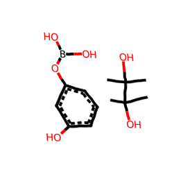 CC(C)(O)C(C)(C)O.OB(O)Oc1cccc(O)c1